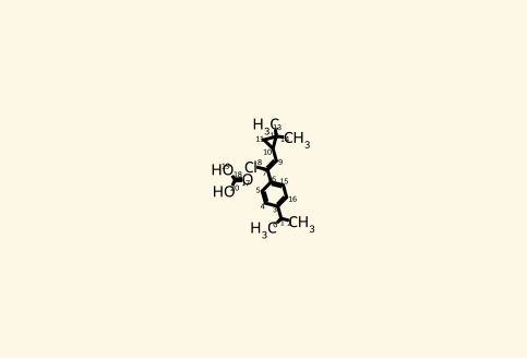 CC(C)c1ccc(C(Cl)=CC2CC2(C)C)cc1.O=C(O)O